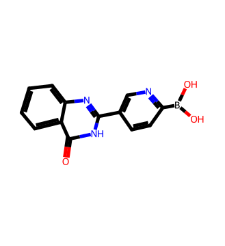 O=c1[nH]c(-c2ccc(B(O)O)nc2)nc2ccccc12